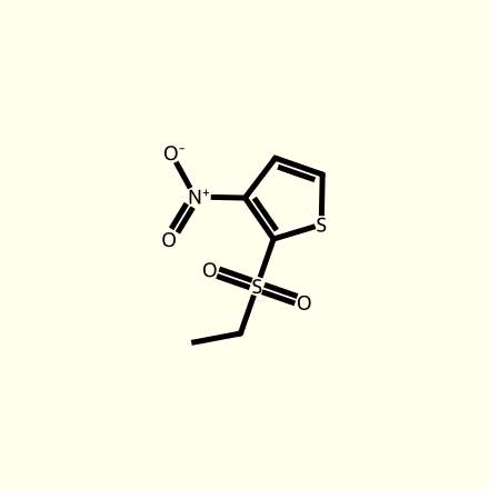 CCS(=O)(=O)c1sccc1[N+](=O)[O-]